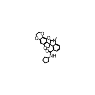 CN1C(=O)C2(COc3cc4c(cc32)OCCO4)c2c(C(=O)NC3CCCC3)cccc21